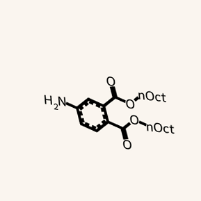 CCCCCCCCOC(=O)c1ccc(N)cc1C(=O)OCCCCCCCC